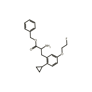 NC(Cc1cc(OCCF)ccc1C1CC1)C(=O)OCc1ccccc1